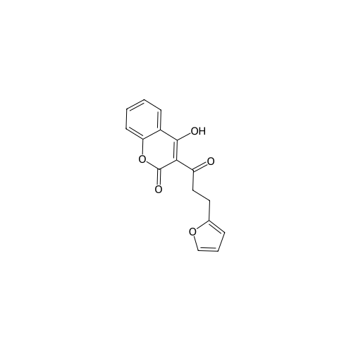 O=C(CCc1ccco1)c1c(O)c2ccccc2oc1=O